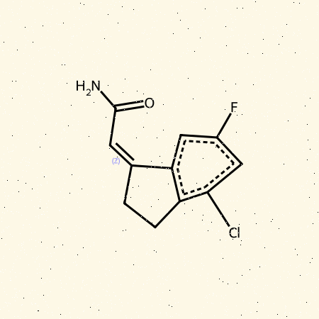 NC(=O)/C=C1/CCc2c(Cl)cc(F)cc21